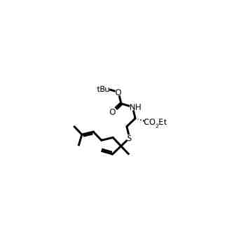 C=CC(C)(CCC=C(C)C)SC[C@H](NC(=O)OC(C)(C)C)C(=O)OCC